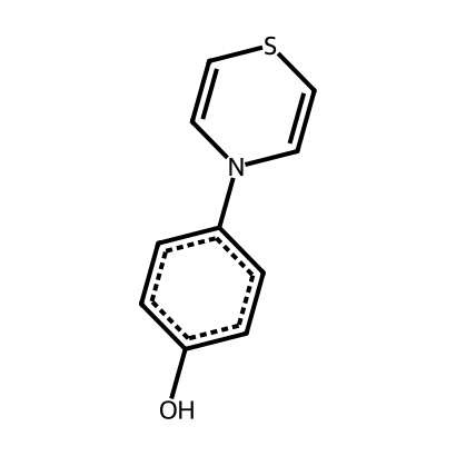 Oc1ccc(N2C=CSC=C2)cc1